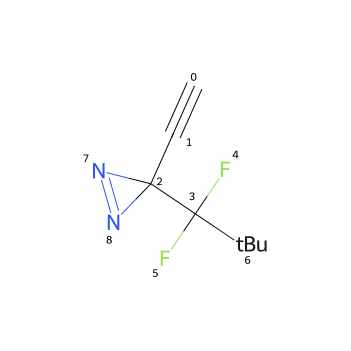 C#CC1(C(F)(F)C(C)(C)C)N=N1